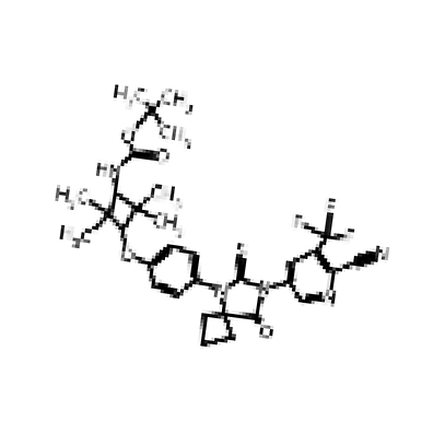 CC(C)(C)OC(=O)NC1C(C)(C)C(Oc2ccc(N3C(=S)N(c4cnc(C#N)c(C(F)(F)F)c4)C(=O)C34CCC4)cc2)C1(C)C